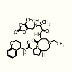 Cc1oc(=O)oc1CN(C)[C@@H](C)C(=O)N[C@H]1CN(CC(F)(F)F)CC[C@H]2CC[C@@H](C(=O)N[C@@H]3CCOc4ccccc43)N2C1=O